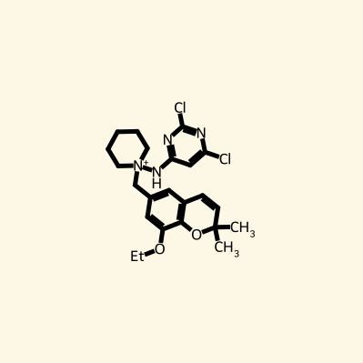 CCOc1cc(C[N+]2(Nc3cc(Cl)nc(Cl)n3)CCCCC2)cc2c1OC(C)(C)C=C2